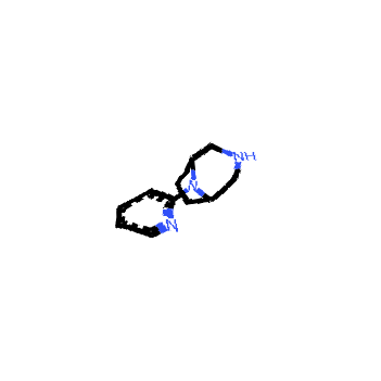 c1ccc(N2C3CCC2CNC3)nc1